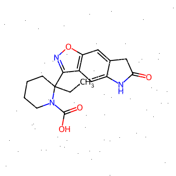 CCC1(c2noc3cc4c(cc23)NC(=O)C4)CCCCN1C(=O)O